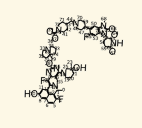 CCc1c(F)ccc2cc(O)cc(-c3ncc4c(N5CCC[C@@](C)(O)C5)nc(OC[C@@]56CCCN5[C@H](COC(=O)N5CCC(CN7CCC(c8cc9c(cc8F)n(C8CCC(=O)NC8=O)c(=O)n9C)CC7)CC5)CC6)nc4c3F)c12